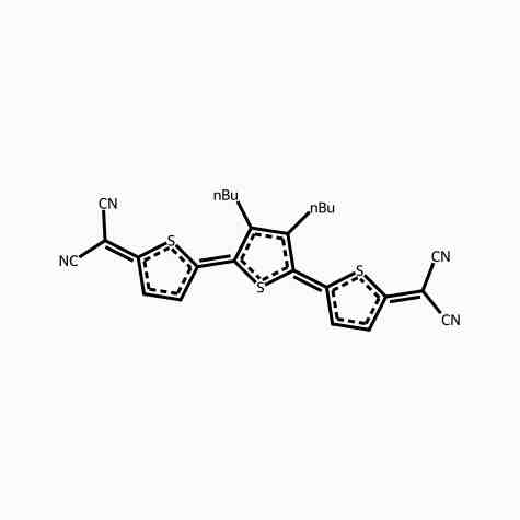 CCCCc1c(CCCC)/c(=c2/ccc(=C(C#N)C#N)s2)s/c1=c1\ccc(=C(C#N)C#N)s1